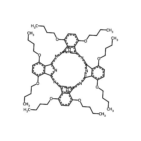 CCCCOc1ccc(OCCCC)c2c1-c1nc-2nc2[nH]c(nc3nc(nc4[nH]c(n1)c1c(OCCCC)ccc(OCCCC)c41)-c1c(OCCCC)ccc(OCCCC)c1-3)c1c(OCCCC)ccc(OCCCC)c21